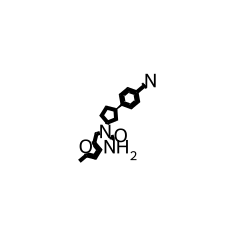 Cc1ccc(CN(C(N)=O)C2CC[C@@H](c3ccc(C#N)cc3)C2)o1